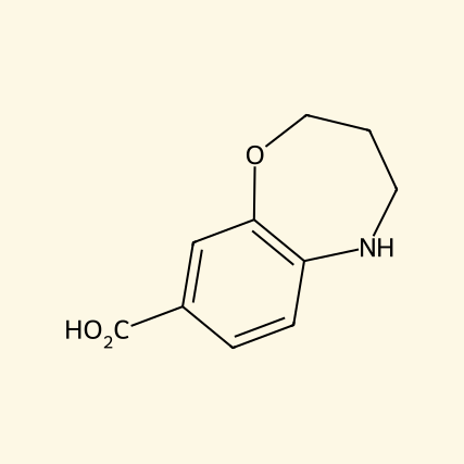 O=C(O)c1ccc2c(c1)OCCCN2